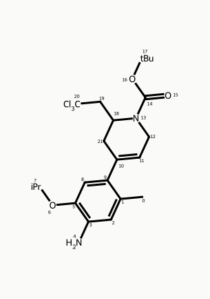 Cc1cc(N)c(OC(C)C)cc1C1=CCN(C(=O)OC(C)(C)C)C(CC(Cl)(Cl)Cl)C1